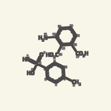 Cc1ccc(S(=N)(=O)O)cc1.Nc1cccc(C(=O)O)c1C(=O)O